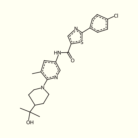 Cc1cc(NC(=O)c2cnc(-c3ccc(Cl)cc3)s2)cnc1N1CCC(C(C)(C)O)CC1